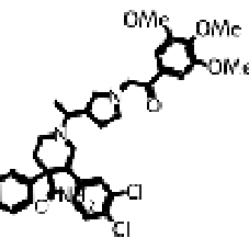 COc1cc(C(=O)CN2CCC(C(C)N3CCC(C(N)=O)(c4ccccc4)C(c4ccc(Cl)c(Cl)c4)C3)C2)cc(OC)c1OC